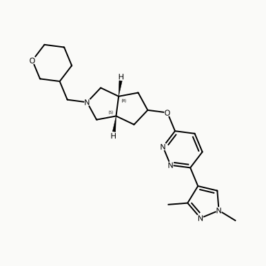 Cc1nn(C)cc1-c1ccc(OC2C[C@@H]3CN(CC4CCCOC4)C[C@@H]3C2)nn1